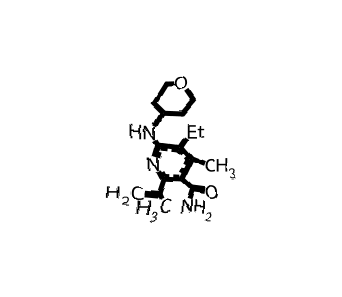 C=C(C)c1nc(NC2CCOCC2)c(CC)c(C)c1C(N)=O